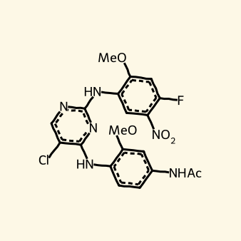 COc1cc(F)c([N+](=O)[O-])cc1Nc1ncc(Cl)c(Nc2ccc(NC(C)=O)cc2OC)n1